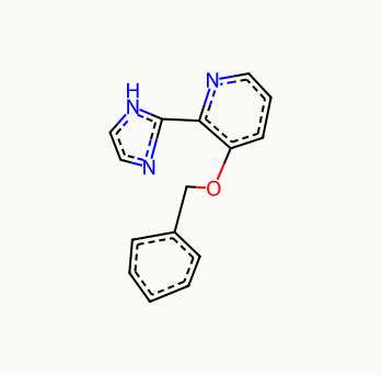 c1ccc(COc2cccnc2-c2ncc[nH]2)cc1